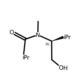 CC(C)C(=O)N(C)[C@H](CO)C(C)C